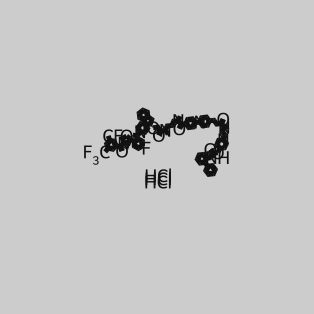 CN(CCN1CCC(OC(=O)Nc2ccccc2-c2ccccc2)CC1)C(=O)CCC1CCN(c2ccc(C(=O)N(C)CCCN(C)C(=O)CO[C@H]3Cc4ccccc4C34CCN(CC[C@]3(c5ccc(F)cc5)CN(C(=O)c5cc(C(F)(F)F)cc(C(F)(F)F)c5)CO3)CC4)cc2)CC1.Cl.Cl.Cl